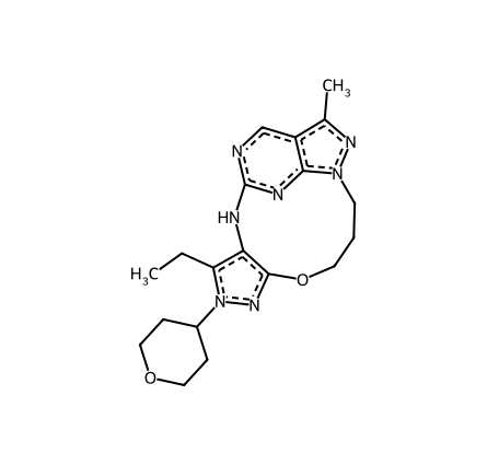 CCc1c2c(nn1C1CCOCC1)OCCCn1nc(C)c3cnc(nc31)N2